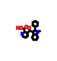 Cn1c(-c2ccccc2)c(C(=O)c2cccnc2C(=O)O)c2ccccc21